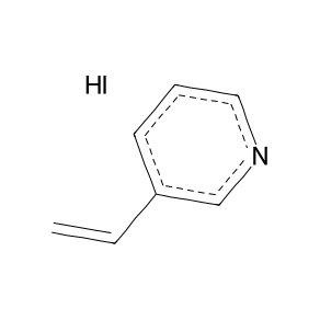 C=Cc1cccnc1.I